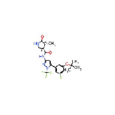 C[C@H]1C(=O)NC[C@@H]1C(=O)Nc1cc(-c2cc(F)cc(OC(C)(C)C)c2)n(C(F)(F)F)n1